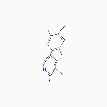 Cc1cc2c(cc1C)-c1cnc(C)c(C)c1C2